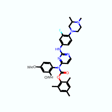 COc1ccc(N(C(=O)Oc2c(C)cc(C)cc2C)c2ccnc(Nc3ccc(N4CCN(C)C(C)C4)c(F)c3)n2)c(OC)c1